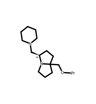 CC(C)OCC12CCCN1[C@@H](CN1CCCCC1)CC2